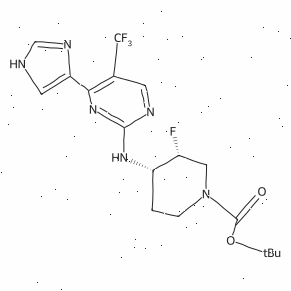 CC(C)(C)OC(=O)N1CC[C@H](Nc2ncc(C(F)(F)F)c(-c3c[nH]cn3)n2)[C@H](F)C1